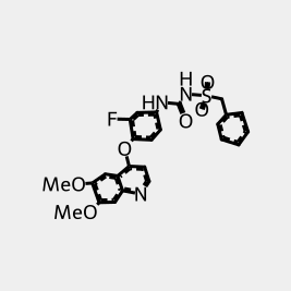 COc1cc2nccc(Oc3ccc(NC(=O)NS(=O)(=O)Cc4ccccc4)cc3F)c2cc1OC